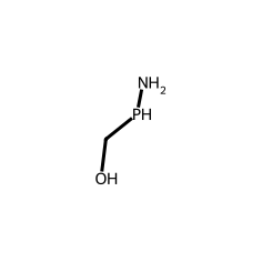 NPCO